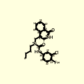 CCCCN(Cc1c[nH]c(=O)c2ccccc12)C(=O)Nc1ccc(F)c(Cl)c1